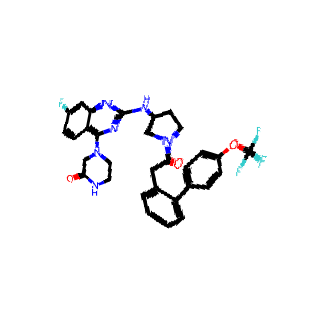 O=C1CN(c2nc(NC3CCN(C(=O)Cc4ccccc4-c4ccc(OC(F)(F)F)cc4)C3)nc3cc(F)ccc23)CCN1